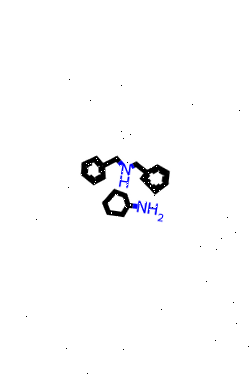 NC1CCCCC1.c1ccc(CNCc2ccccc2)cc1